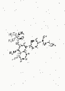 CCOC(=O)c1ccc(-c2cc(OC(=O)C(C)(C)C)c(N)c3c(F)cccc23)nc1